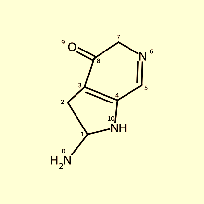 NC1CC2=C(C=NCC2=O)N1